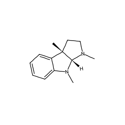 CN1CC[C@@]2(C)c3ccccc3N(C)[C@@H]12